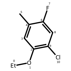 CCOc1cc(C)c(F)cc1Cl